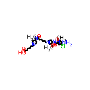 COc1cc(N)c(Cl)cc1C(=O)N[C@@H]1CCN(CCCCCC(=O)N(C)C2CCN(CCCCCC(=O)O)CC2)C[C@@H]1OC